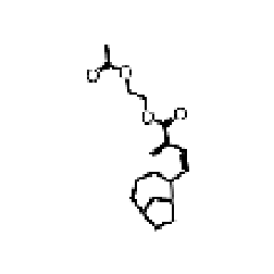 C=C(/C=C\C1CCCC2CCC1C2)C(=O)OCCOC(C)=O